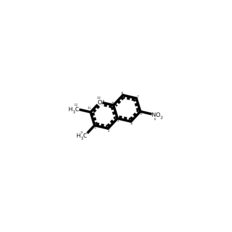 Cc1cc2cc([N+](=O)[O-])ccc2[o+]c1C